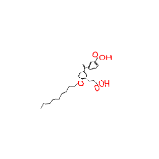 C=C(c1cccc(C(=O)O)c1)c1ccc(OCCCCCCCCCC)c(CCC(=O)O)c1